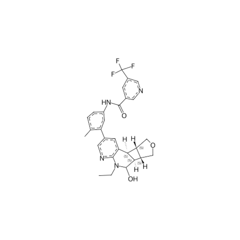 CCN1c2ncc(-c3cc(NC(=O)c4cncc(C(F)(F)F)c4)ccc3C)cc2[C@H]2[C@@H]3COC[C@@H]3[C@H]2C1O